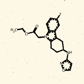 CCOC(=O)Cn1c2c(c3cc(F)ccc31)CC(Nc1ccon1)CC2